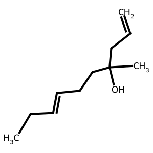 C=CCC(C)(O)CCC=CCC